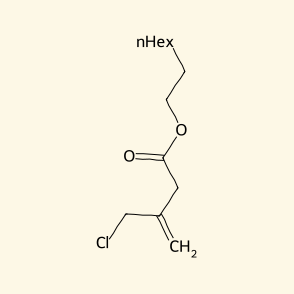 C=C(CCl)CC(=O)OCCCCCCCC